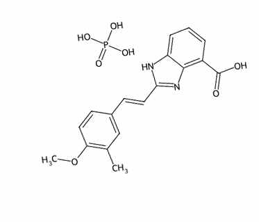 COc1ccc(/C=C/c2nc3c(C(=O)O)cccc3[nH]2)cc1C.O=P(O)(O)O